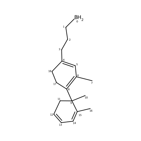 BCCCC1=CC(C)=C(C2(C)CC=CC=C2C)CC1